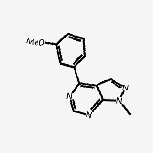 COc1cccc(-c2ncnc3c2cnn3C)c1